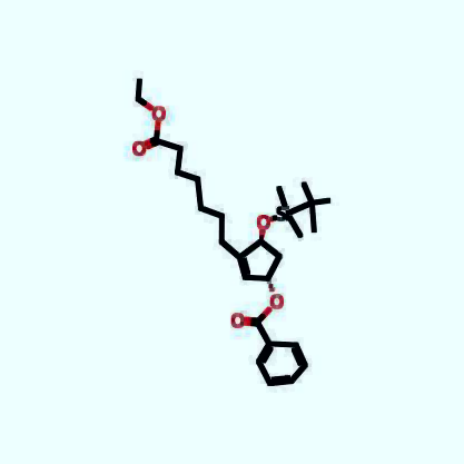 CCOC(=O)CCCCCCC1=C[C@@H](OC(=O)c2ccccc2)C[C@@H]1O[Si](C)(C)C(C)(C)C